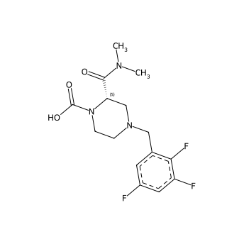 CN(C)C(=O)[C@@H]1CN(Cc2cc(F)cc(F)c2F)CCN1C(=O)O